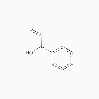 C=C[C](O)c1ccccc1